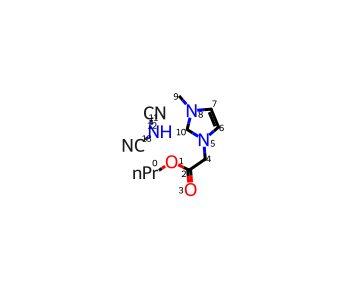 CCCOC(=O)CN1C=CN(C)C1.N#CNC#N